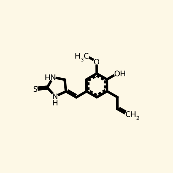 C=CCc1cc(/C=C2\CNC(=S)N2)cc(OC)c1O